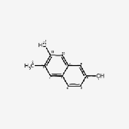 Cc1cc2ccc(O)cc2cc1O